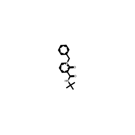 CC(C)(C)NC(=O)c1cccn(Cc2ccccc2)c1=O